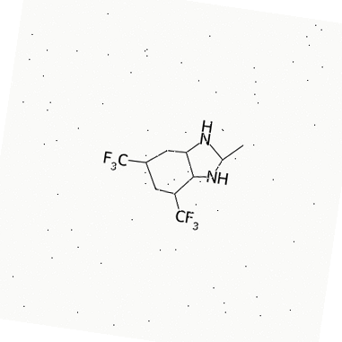 CC1NC2CC(C(F)(F)F)CC(C(F)(F)F)C2N1